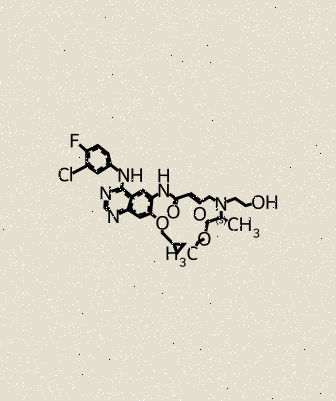 CCOC(=O)[C@H](C)N(CC=CC(=O)Nc1cc2c(Nc3ccc(F)c(Cl)c3)ncnc2cc1OCC1CC1)CCO